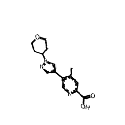 Cc1cc(C(=O)O)ncc1-c1cnn(C2CCOCC2)c1